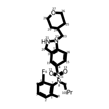 Cc1cccc(F)c1N(CC(C)C)S(=O)(=O)c1ccc2c(c1)CNN2CC1CCOCC1